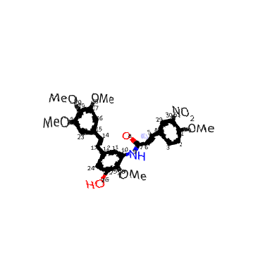 COc1ccc(/C=C/C(=O)Nc2cc(C=Cc3cc(OC)c(OC)c(OC)c3)cc(O)c2OC)cc1[N+](=O)[O-]